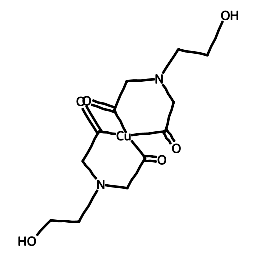 O=[C]1CN(CCO)C[C](=O)[Cu]12[C](=O)CN(CCO)C[C]2=O